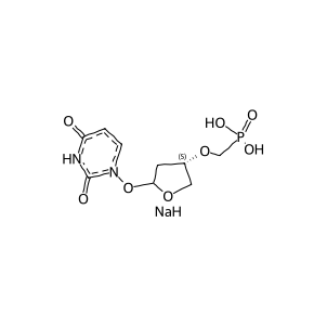 O=c1ccn(OC2C[C@H](OCP(=O)(O)O)CO2)c(=O)[nH]1.[NaH]